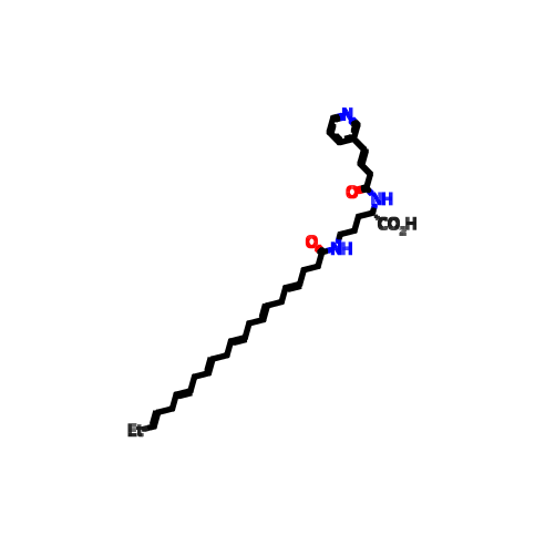 CCC=CCC=CCC=CCC=CCC=CCC=CCCC(=O)NCCC[C@H](NC(=O)CC=Cc1cccnc1)C(=O)O